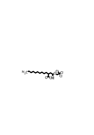 CCCCCCCCCCC(CC(=O)OCC(Cl)(Cl)Cl)C(=O)O